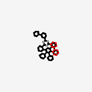 c1ccc(-c2cccc(-c3nc(-c4cccc(-c5ccccc5)c4)nc(-c4ccccc4-c4cc(-c5ccccc5)c(-c5ccccc5)c(-c5ccccc5)c4-c4ccccc4)n3)c2)cc1